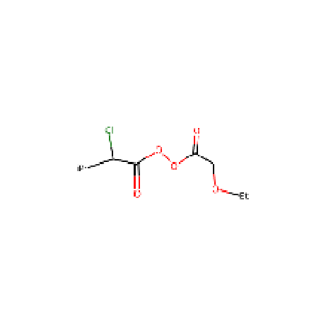 CCOCC(=O)OOC(=O)C(Cl)C(C)C